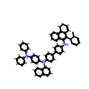 CC1C=CC=CC1c1c2c(c3ccccc3c1Nc1ccc(-c3ccc(N(c4ccc(N(c5ccccc5)c5ccccc5)cc4)c4cccc5ccccc45)cc3)cc1)CCC=C2